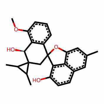 COc1cccc2c1[C@H](O)C1(CC23Oc2cc(C)cc4ccc(O)c3c24)C(C)C1C